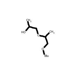 CC(O)COC(C)COC(C)(C)C